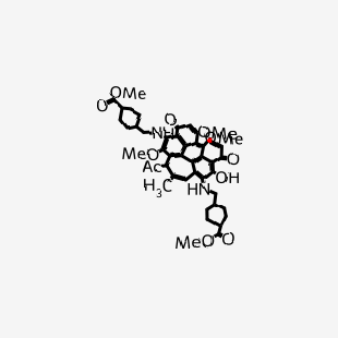 COC(=O)C1CCC(CNc2c(O)c3c(=O)cc(OC)c4c5c(OC)cc(=O)c6c(NCC7CCC(C(=O)OC)CC7)c(OC)c7c(c(c2C=C(C)C7C(C)=O)c34)c65)CC1